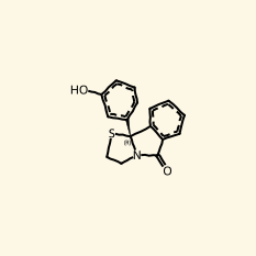 O=C1c2ccccc2[C@@]2(c3cccc(O)c3)SCCN12